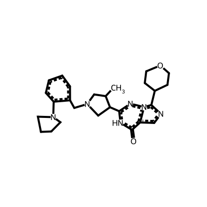 CC1CN(Cc2ccccc2N2CCCC2)CC1c1nn2c(C3CCOCC3)ncc2c(=O)[nH]1